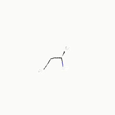 CC(=O)[C@@H]([NH])CC(C)C